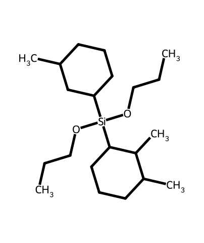 CCCO[Si](OCCC)(C1CCCC(C)C1)C1CCCC(C)C1C